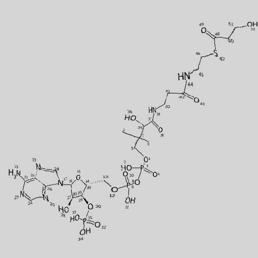 CC(C)(COP(=O)(O)OP(=O)(O)OC[C@H]1OC(n2cnc3c(N)ncnc32)[C@H](O)[C@@H]1OP(=O)(O)O)C(O)C(=O)NCCC(=O)NCCSC(=O)CCO